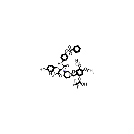 COc1ccc(C[N+]2(C)CCC/C(=[N+](/C(=O)Nc3ccc(OS(=O)(=O)c4ccccc4)cc3)[C@@H](Cc3ccc(O)cc3)C(N)=O)C2)cc1OC.O=C(O)C(F)(F)F